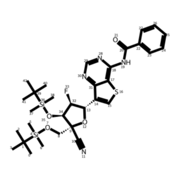 CC(C)(C)[Si](C)(C)OC[C@@]1(C#N)O[C@@H](c2csc3c(NC(=O)c4ccccc4)ncnc23)[C@H](F)[C@@H]1O[Si](C)(C)C(C)(C)C